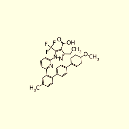 CCc1nn(-c2cccc(-c3cc(C)ccc3-c3ccc(C4=CCC(OC)CC4)cc3)n2)c(C(F)(F)F)c1C(=O)O